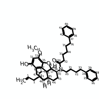 C=CCN1CC[C@]23c4c5c(O)cc(OC)c4O[C@H]2[C@@H](N(CCCCc2ccccc2)C(=O)CCCCCc2ccccc2)CC[C@H]3[C@H]1C5